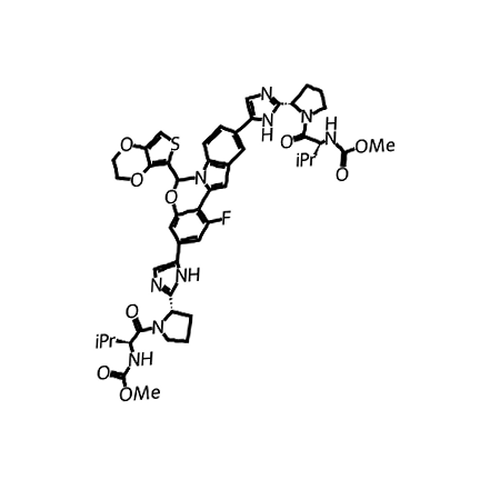 COC(=O)N[C@H](C(=O)N1CCC[C@H]1c1ncc(-c2cc(F)c3c(c2)OC(c2scc4c2OCCO4)n2c-3cc3cc(-c4cnc([C@@H]5CCCN5C(=O)[C@@H](NC(=O)OC)C(C)C)[nH]4)ccc32)[nH]1)C(C)C